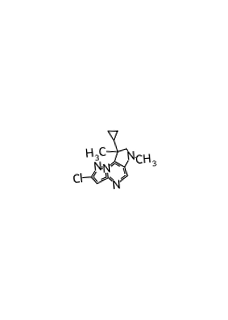 CN1CC(C)(C2CC2)c2c1cnc1cc(Cl)nn21